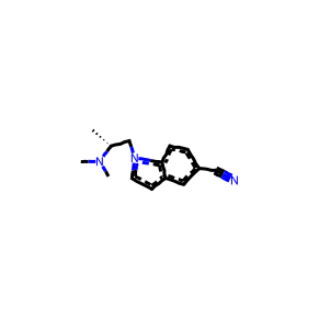 C[C@H](Cn1ccc2cc(C#N)ccc21)N(C)C